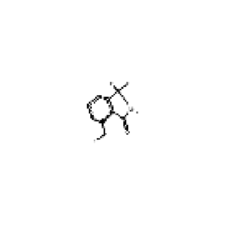 NC(=O)c1c(C[O])cccc1C(F)(F)F